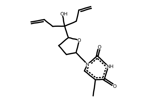 C=CCC(O)(CC=C)C1CCC(n2cc(C)c(=O)[nH]c2=O)O1